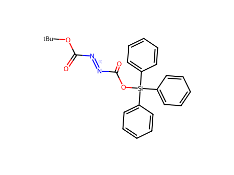 CC(C)(C)OC(=O)/N=N/C(=O)O[Si](c1ccccc1)(c1ccccc1)c1ccccc1